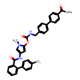 COC(=O)c1ccc(-c2ccc(CNC(=O)Oc3cc(NC(=O)c4ccccc4-c4ccc(C(F)(F)F)cc4)cn3C)cc2)cc1